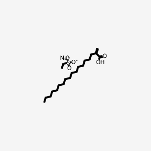 C=C(CCCCCCCCCCCCCCCC)C(=O)O.CCS(=O)(=O)[O-].[Na+]